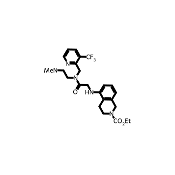 CCOC(=O)N1CCc2c(cccc2NCC(=O)N(CCNC)Cc2ncccc2C(F)(F)F)C1